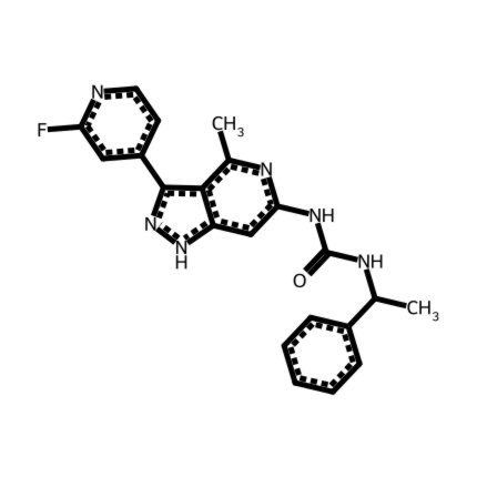 Cc1nc(NC(=O)NC(C)c2ccccc2)cc2[nH]nc(-c3ccnc(F)c3)c12